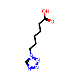 O=C(O)CCCCCn1cnnn1